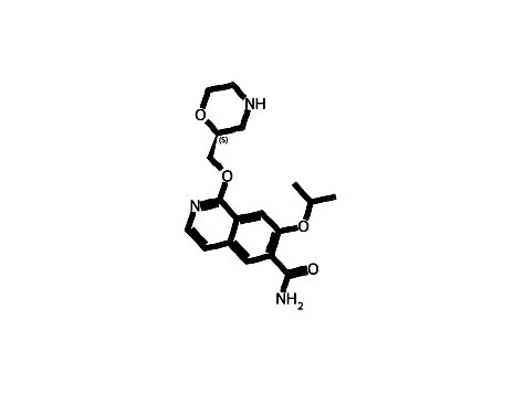 CC(C)Oc1cc2c(OC[C@@H]3CNCCO3)nccc2cc1C(N)=O